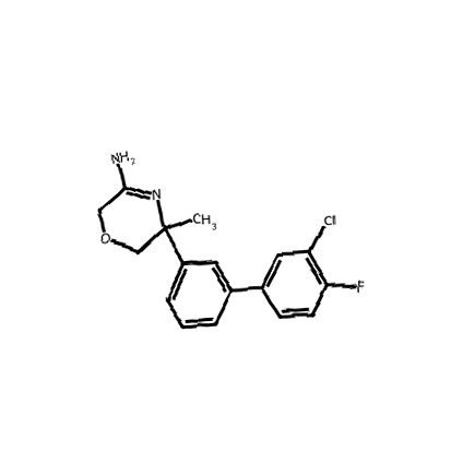 CC1(c2cccc(-c3ccc(F)c(Cl)c3)c2)COCC(N)=N1